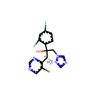 C[C@H](c1ncncc1F)C(O)(Cn1cncn1)c1ccc(F)cc1F